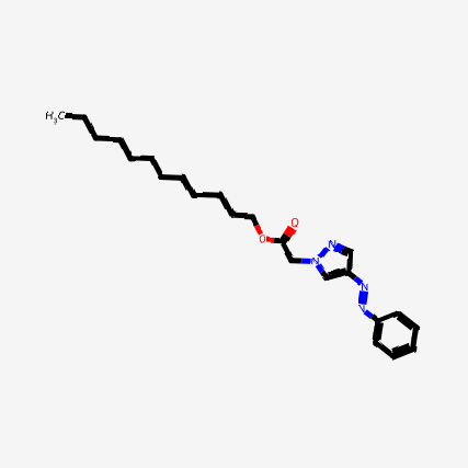 CCCCCCCCCCCCOC(=O)Cn1cc(/N=N/c2ccccc2)cn1